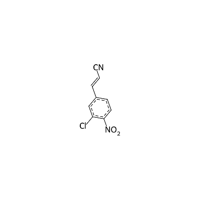 N#CC=Cc1ccc([N+](=O)[O-])c(Cl)c1